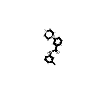 Cc1cccc(NC(=O)c2cccc(N3CCOCC3)c2)c1